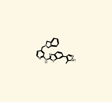 Cc1[nH]ncc1-c1ccc2nc(Nc3cc(CN4Cc5ccccc5C4)ccn3)sc2c1